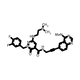 CNc1ncnc2ccc(C#CCNC(=O)c3cc(NCCN(C)C)nn(Cc4ccc(F)c(F)c4)c3=O)cc12